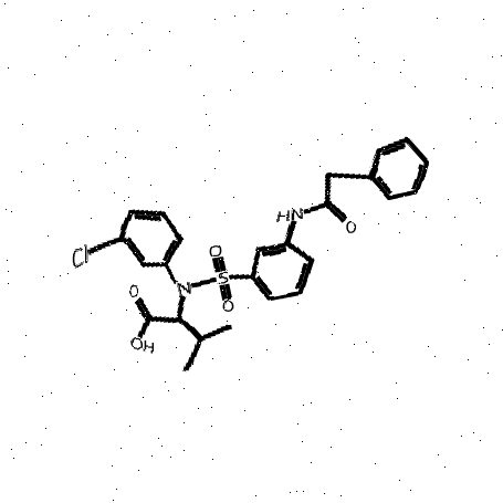 CC(C)C(C(=O)O)N(c1cccc(Cl)c1)S(=O)(=O)c1cccc(NC(=O)Cc2ccccc2)c1